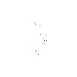 O=C(CCCn1cc(CNC2CCC(CN3C(=O)C=CC3=O)CC2)nn1)ON1C(=O)CCC1=O